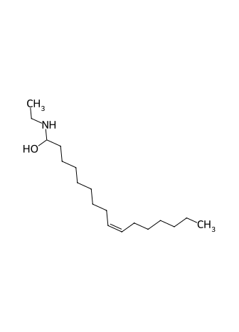 CCCCCC/C=C\CCCCCCCC(O)NCC